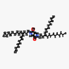 CCCCCCCCCCC(CCCCCCCCCC)CCCN1C=C2C(=O)N(CCCC(CCCCCCCCCC)CCCCCCCCCC)C=C2C1=O